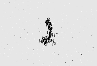 CC(CONC(=O)CC1CCN(c2ncc3c(n2)CCC3=O)CC1)Nc1cn[nH]c(=O)c1C(F)(F)F